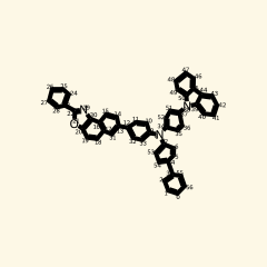 c1ccc(-c2ccc(N(c3ccc(-c4ccc5c(ccc6oc(-c7ccccc7)nc65)c4)cc3)c3ccc(-n4c5ccccc5c5ccccc54)cc3)cc2)cc1